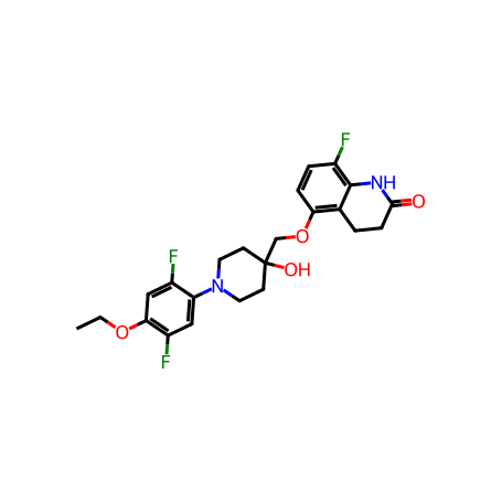 CCOc1cc(F)c(N2CCC(O)(COc3ccc(F)c4c3CCC(=O)N4)CC2)cc1F